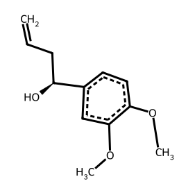 C=CC[C@H](O)c1ccc(OC)c(OC)c1